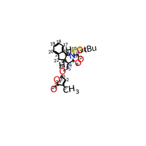 CC1=C[C@H](O/C=C2/C(=O)[N+](S)(C(=O)OC(C)(C)C)[C@@H]3c4ccccc4C[C@H]23)OC1=O